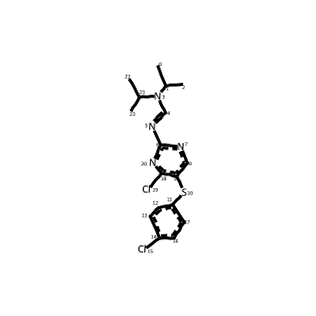 CC(C)N(C=Nc1ncc(Sc2ccc(Cl)cc2)c(Cl)n1)C(C)C